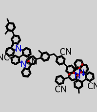 Cc1ccc(-c2ccc3c(c2)c2ccccc2n3-c2cccc(C#N)c2-c2cc(C#N)ccc2-n2c3ccccc3c3cc(-c4ccc(Cc5ccc(-c6ccc7c(c6)c6ccccc6n7-c6ccc(C)cc6-c6c(C#N)cccc6-n6c7ccccc7c7cc(-c8cccc(C#N)c8)ccc76)cc5C#N)cc4C)ccc32)c(C)c1